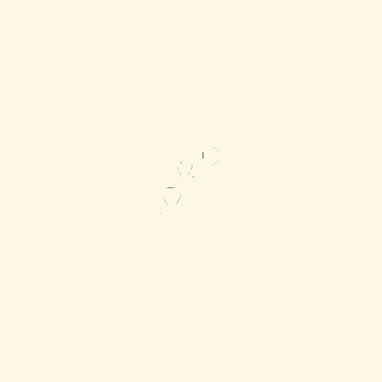 O=C(O)C1CCN(c2ccc(-c3noc(-c4ccc(OCCF)c(C(F)(F)F)c4)n3)cc2)CC1